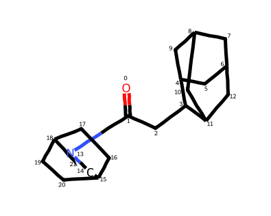 O=C(CC1C2CC3CC(C2)CC1C3)N1CC2CCC(CC2)C1